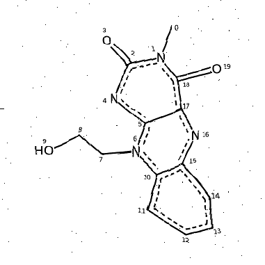 Cn1c(=O)nc2n(CCO)c3ccccc3nc-2c1=O